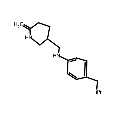 C=C1CCC(CNc2ccc(CC(C)C)cc2)CN1